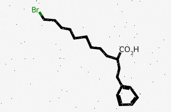 O=C(O)C(CCCCCCCCCBr)CCc1ccccc1